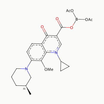 COc1c(N2CCC[C@H](C)C2)ccc2c(=O)c(C(=O)OB(OC(C)=O)OC(C)=O)cn(C3CC3)c12